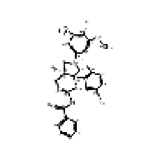 COc1nc(N2C[C@@H]3CN=C(NC(=O)c4ccccc4)S[C@@]3(c3cc(F)ccc3F)C2)nc(C)c1F